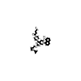 Cc1cccc2cccc(N3CCc4c(nc(OCC5CCN5C5CC5)nc4N4CCN(C(=O)/C=C/CF)CC4)C3)c12